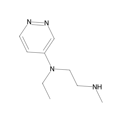 CCN(CCNC)c1ccnnc1